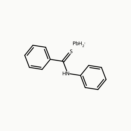 S=C(Nc1ccccc1)c1ccccc1.[PbH2]